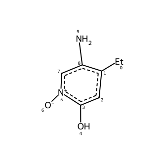 CCc1cc(O)[n+]([O-])cc1N